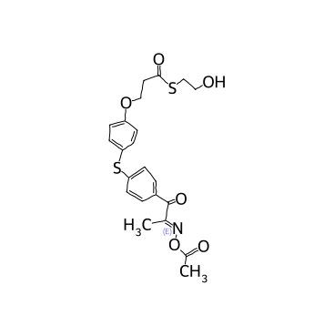 CC(=O)O/N=C(\C)C(=O)c1ccc(Sc2ccc(OCCC(=O)SCCO)cc2)cc1